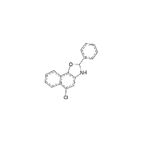 Clc1cc2c(c3ccccc13)OC(c1ccccc1)N2